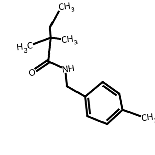 CCC(C)(C)C(=O)NCc1ccc(C)cc1